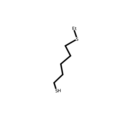 CCSCCCCCS